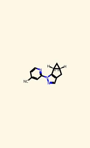 N#Cc1ccnc(-n2ncc3c2[C@@H]2C[C@@H]2C3)c1